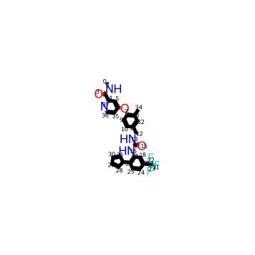 CNC(=O)c1cc(Oc2ccc(CNC(=O)Nc3cc(C(F)(F)F)ccc3C3C=CC=C3)cc2C)ccn1